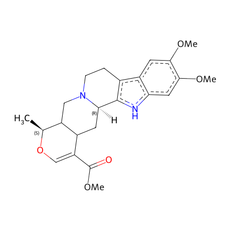 COC(=O)C1=CO[C@@H](C)C2CN3CCc4c([nH]c5cc(OC)c(OC)cc45)[C@H]3CC12